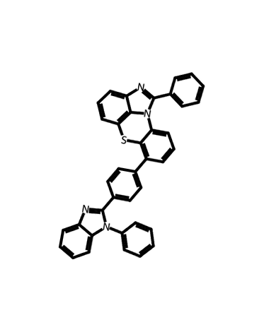 c1ccc(-c2nc3cccc4c3n2-c2cccc(-c3ccc(-c5nc6ccccc6n5-c5ccccc5)cc3)c2S4)cc1